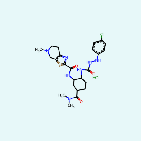 CN1CCc2nc(C(=O)NC3CC(C(=O)N(C)C)CCC3NC(=O)NNc3ccc(Cl)cc3)sc2C1.Cl